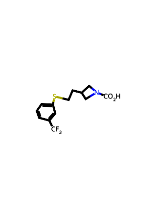 O=C(O)N1CC(CCSc2cccc(C(F)(F)F)c2)C1